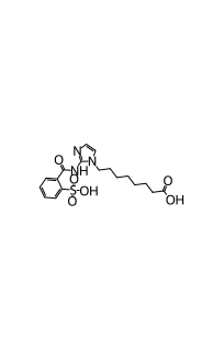 O=C(O)CCCCCCCn1ccnc1NC(=O)c1ccccc1S(=O)(=O)O